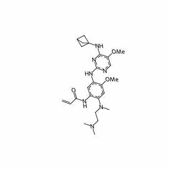 C=CC(=O)Nc1cc(Nc2ncc(OC)c(NC34CC(C3)C4)n2)c(OC)cc1N(C)CCN(C)C